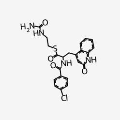 NC(=O)NCCSC(=O)C(Cc1cc(=O)[nH]c2ccccc12)NC(=O)c1ccc(Cl)cc1